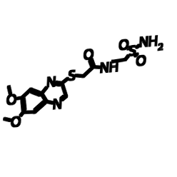 COc1cc2ncc(SCC(=O)NCCS(N)(=O)=O)nc2cc1OC